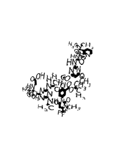 CC(C)OC(=O)c1cc(-n2c(=O)cc(C(F)(F)F)n(C)c2=O)ccc1Cl.CCNc1nc(Cl)nc(NC(C)C)n1.COc1cc(OC)nc(NC(=O)NS(=O)(=O)c2ncccc2C(=O)N(C)C)n1.O=C(O)CNCP(=O)(O)O